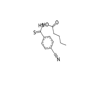 CCCCC(=O)O.N#Cc1ccc(C(=S)S)cc1